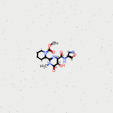 Cn1c(C2CCCCN2C(=O)OC(C)(C)C)nc(C(=O)Nc2cnoc2)c(O)c1=O